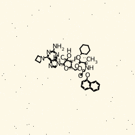 C[C@H](NP(=O)(OC[C@H]1O[C@@H](n2cnc3c(N4CCC4)nc(N)nc32)[C@](C)(O)[C@@H]1F)Oc1cccc2ccccc12)C(=O)OC1CCCCC1